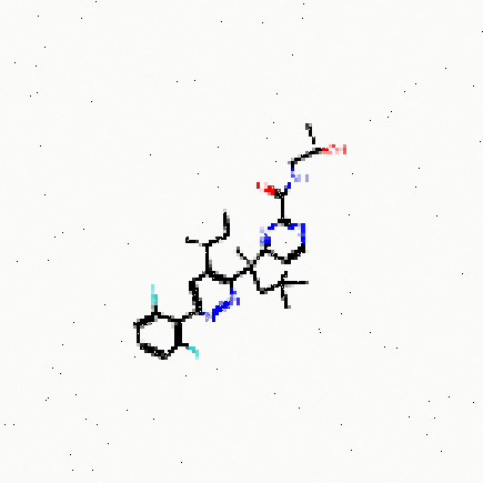 CC[C@H](C)c1cc(-c2c(F)cccc2F)nnc1[C@@](C)(CC(C)(C)C)c1ccnc(C(=O)NC[C@@H](C)O)n1